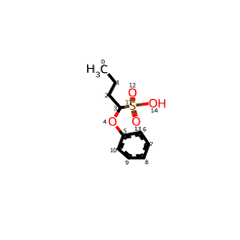 CCCC(Oc1ccccc1)S(=O)(=O)O